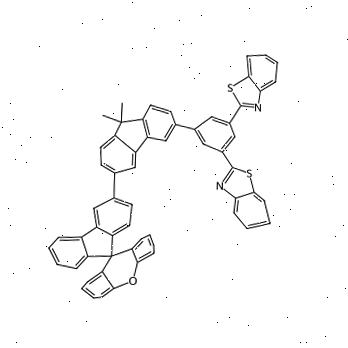 CC1(C)c2ccc(-c3cc(-c4nc5ccccc5s4)cc(-c4nc5ccccc5s4)c3)cc2-c2cc(-c3ccc4c(c3)-c3ccccc3C43c4ccccc4Oc4ccccc43)ccc21